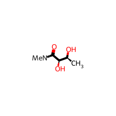 CNC(=O)[C@H](O)[C@H](C)O